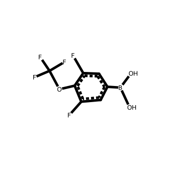 OB(O)c1cc(F)c(OC(F)(F)F)c(F)c1